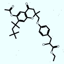 CCOC(=O)C(Cl)Cc1ccc(OCC2(C)CC(=O)c3cc(OC(C)=O)c(C(C)(C)CC(C)(C)C)cc3O2)cc1